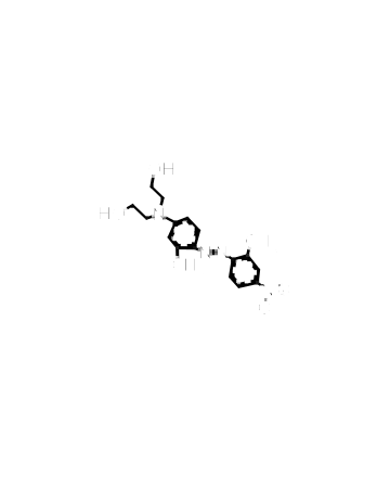 Cc1cc(N(CCO)CCO)ccc1N=Nc1ccc([N+](=O)[O-])cc1C